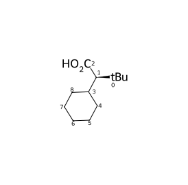 CC(C)(C)[C@H](C(=O)O)C1CCCCC1